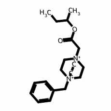 CCC(C)OC(=O)C[N+]12CC[N+](Cc3ccccc3)(CC1)CC2